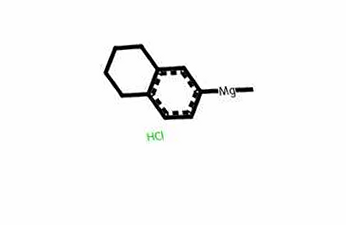 Cl.[CH3][Mg][c]1ccc2c(c1)CCCC2